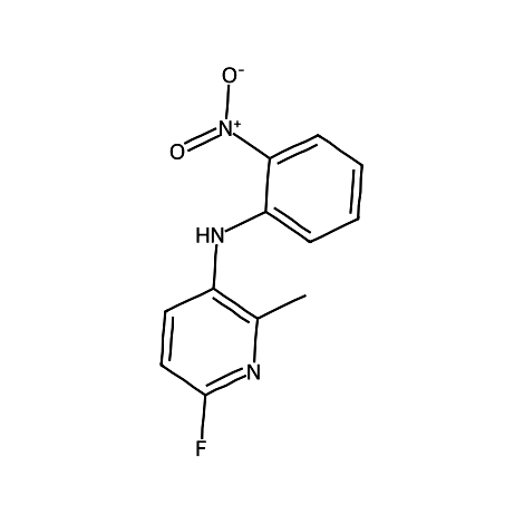 Cc1nc(F)ccc1Nc1ccccc1[N+](=O)[O-]